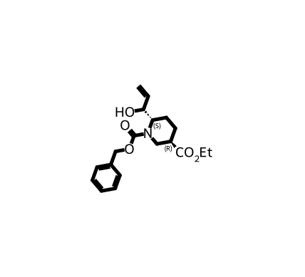 C=CC(O)[C@@H]1CC[C@@H](C(=O)OCC)CN1C(=O)OCc1ccccc1